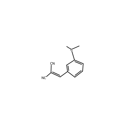 CN(C)c1cccc(C=C(C#N)C#N)c1